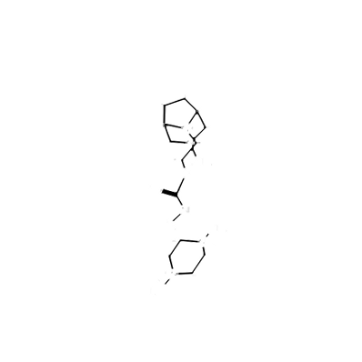 CN1CC2CCC(C1)N2CCOC(=O)NC[C@H]1CN(C)CCN1C